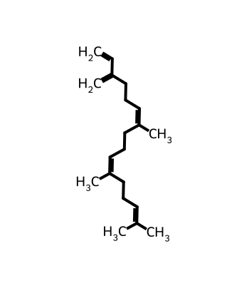 C=CC(=C)CCC=C(C)CCC=C(C)CCC=C(C)C